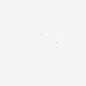 CN(C)c1ccc(C(=O)O)cc1.[NaH]